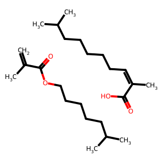 C=C(C)C(=O)OCCCCCC(C)C.CC(=CCCCCCC(C)C)C(=O)O